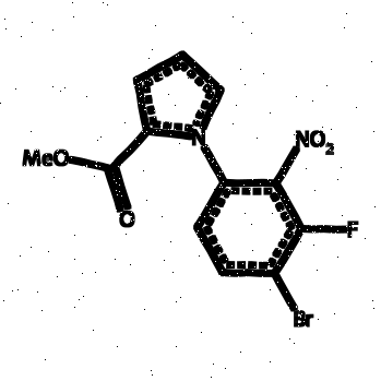 COC(=O)c1cccn1-c1ccc(Br)c(F)c1[N+](=O)[O-]